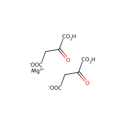 O=C([O-])CC(=O)C(=O)O.O=C([O-])CC(=O)C(=O)O.[Mg+2]